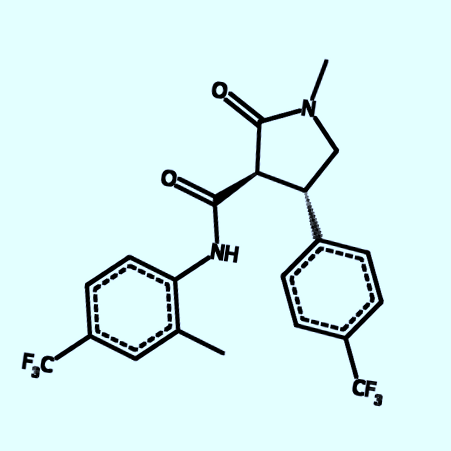 Cc1cc(C(F)(F)F)ccc1NC(=O)[C@H]1C(=O)N(C)C[C@@H]1c1ccc(C(F)(F)F)cc1